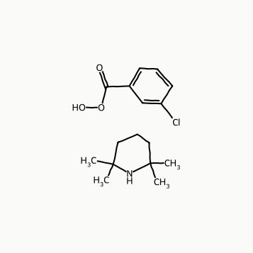 CC1(C)CCCC(C)(C)N1.O=C(OO)c1cccc(Cl)c1